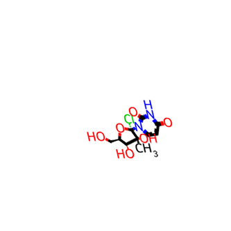 C[C@@]1(O)[C@H](O)[C@@H](CO)O[C@@]1(Cl)n1ccc(=O)[nH]c1=O